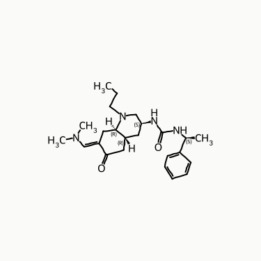 CCCN1C[C@@H](NC(=O)N[C@@H](C)c2ccccc2)C[C@@H]2CC(=O)C(=CN(C)C)C[C@H]21